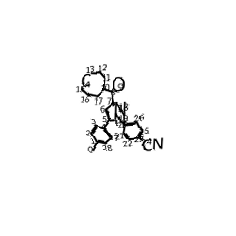 Cc1ccc(-c2cc(C(=O)C3CCCCCCC3)nn2-c2ccc(C#N)cc2)cc1